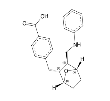 O=C(O)c1ccc(C[C@@H]2[C@@H](CNc3ccccc3)[C@@H]3CC[C@H]2O3)cc1